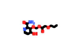 CCCOCC(=O)OCOc1c(O)ccnc1C(N)=O